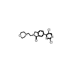 O=C1c2cc(-c3nc(Cl)ncc3Cl)ccc2CN1CCN1CCOCC1